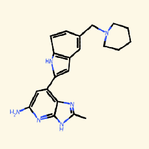 Cc1nc2c(-c3cc4cc(CN5CCCCC5)ccc4[nH]3)cc(N)nc2[nH]1